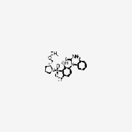 COC[C@H]1CCCN1S(=O)(=O)c1c(Cl)ccc(N(C(N)=S)c2ccccc2Br)c1O